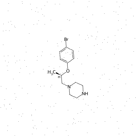 C[C@H](CN1CCNCC1)Oc1ccc(Br)cc1